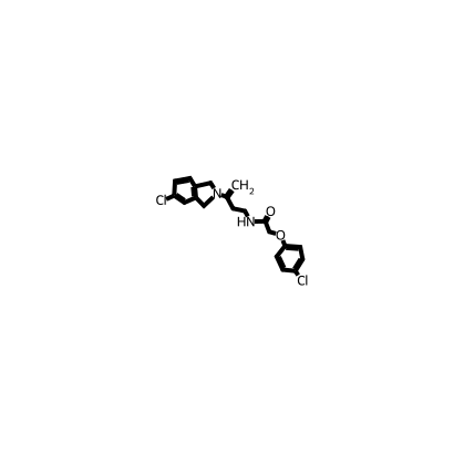 C=C(CCNC(=O)COc1ccc(Cl)cc1)N1Cc2ccc(Cl)cc2C1